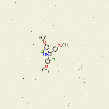 CCOc1ccc(-c2cc(-c3ccc(OCC)cc3Cl)[nH]c2-c2ccc(OCC)cc2Cl)cc1